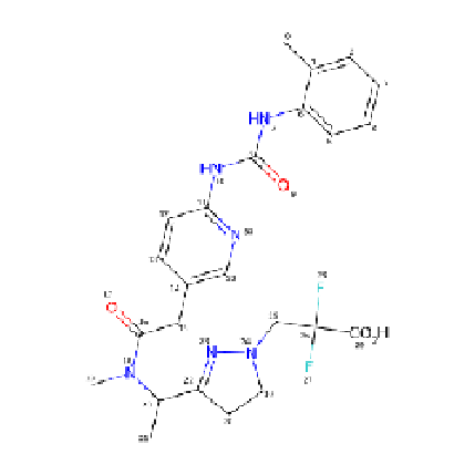 Cc1ccccc1NC(=O)Nc1ccc(CC(=O)N(C)C(C)C2=NN(CC(F)(F)C(=O)O)CC2)cn1